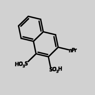 CCCc1cc2ccccc2c(S(=O)(=O)O)c1S(=O)(=O)O